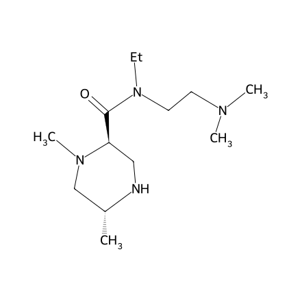 CCN(CCN(C)C)C(=O)[C@H]1CN[C@H](C)CN1C